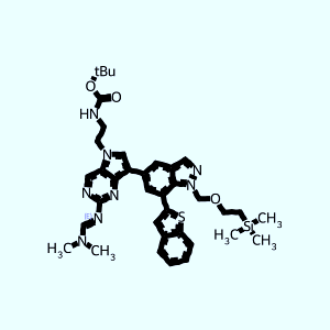 CN(C)/C=N/c1ncc2c(n1)c(-c1cc(-c3cc4ccccc4s3)c3c(cnn3COCC[Si](C)(C)C)c1)cn2CCNC(=O)OC(C)(C)C